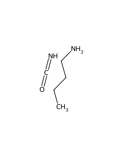 CCCCN.N=C=O